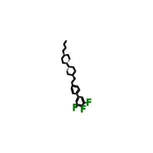 CCCC[C@H]1CC[C@H]([C@H]2CC[C@H](CCc3ccc(-c4cc(F)c(F)c(F)c4)cc3)CC2)CC1